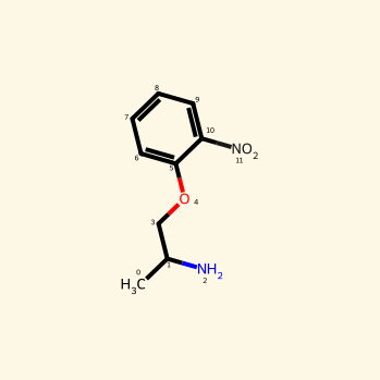 CC(N)COc1ccccc1[N+](=O)[O-]